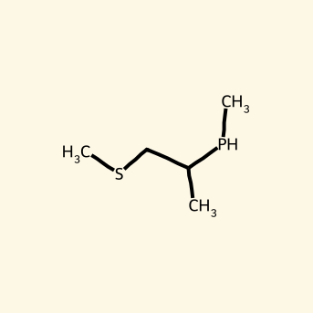 CPC(C)CSC